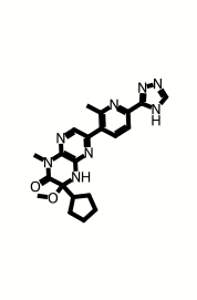 COC1(C2CCCC2)Nc2nc(-c3ccc(-c4nnc[nH]4)nc3C)cnc2N(C)C1=O